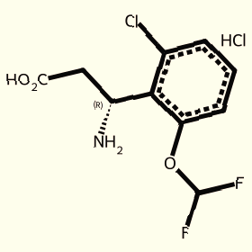 Cl.N[C@H](CC(=O)O)c1c(Cl)cccc1OC(F)F